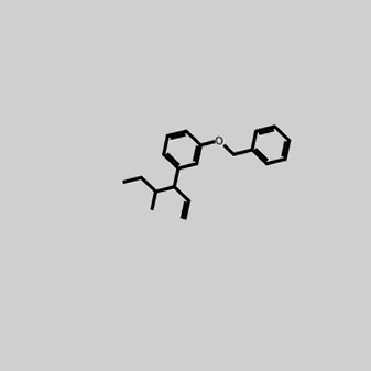 C=CC(c1cccc(OCc2ccccc2)c1)C(C)CC